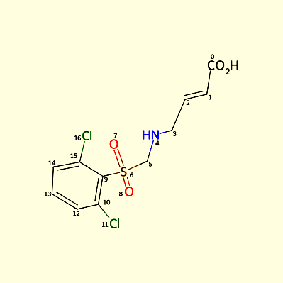 O=C(O)C=CCNCS(=O)(=O)c1c(Cl)cccc1Cl